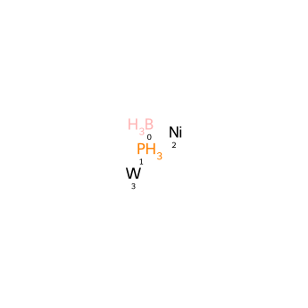 B.P.[Ni].[W]